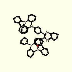 c1ccc(N(c2ccc(-c3nc4ccccc4nc3-c3ccc(N(c4ccccc4)c4ccccc4-n4c5ccccc5c5ccccc54)cc3)cc2)c2ccccc2-n2c3ccccc3c3ccccc32)cc1